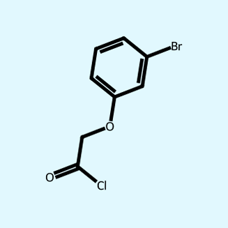 O=C(Cl)COc1cccc(Br)c1